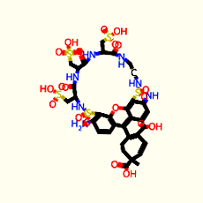 CC1(C(=O)O)C=CC(C(=O)O)=C(c2c3ccc(=N)c4c-3oc3c(c(N)ccc23)S(=O)(=O)NC(CS(=O)(=O)O)C(=O)NC(CS(=O)(=O)O)C(=O)NC(CS(=O)(=O)O)C(=O)NCCNS4(=O)=O)CC1